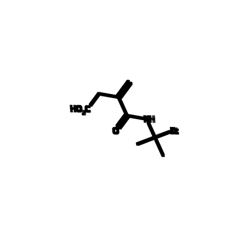 C=C(CC(=O)O)C(=O)NC(C)(C)CC